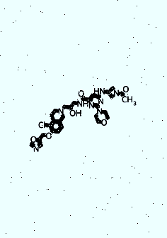 CC(=O)N1CC(Nc2cc(C(=O)NCC(O)CN3CCc4c(ccc(OCc5cnco5)c4Cl)C3)nc(N3CCOCC3)n2)C1